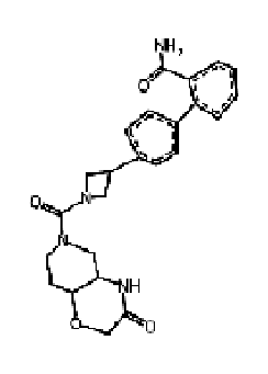 NC(=O)c1ccccc1-c1ccc(C2CN(C(=O)N3CCC4OCC(=O)NC4C3)C2)cc1